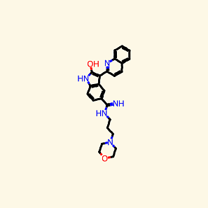 N=C(NCCCN1CCOCC1)c1ccc2[nH]c(O)c(-c3ccc4ccccc4n3)c2c1